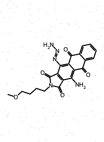 COCCCCn1c(=O)c2c(N)c3c(=O)c4ccccc4c(=O)c3c(N=NN)c2c1=O